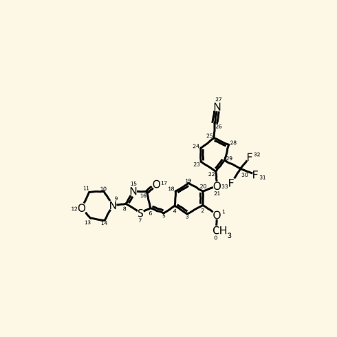 COc1cc(C=C2SC(N3CCOCC3)=NC2=O)ccc1Oc1ccc(C#N)cc1C(F)(F)F